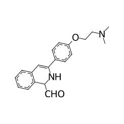 CN(C)CCOc1ccc(C2=Cc3ccccc3C(C=O)N2)cc1